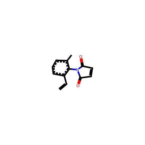 C=Cc1cccc(C)c1N1C(=O)C=CC1=O